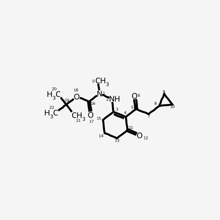 CN(NC1=C(C(=O)CC2CC2)C(=O)CCC1)C(=O)OC(C)(C)C